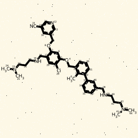 Cc1c(COc2cc(OCc3cncc(C#N)c3)c(CNCCCN(C)C)cc2Cl)cccc1-c1cccc(CNCCCN(C)C)c1